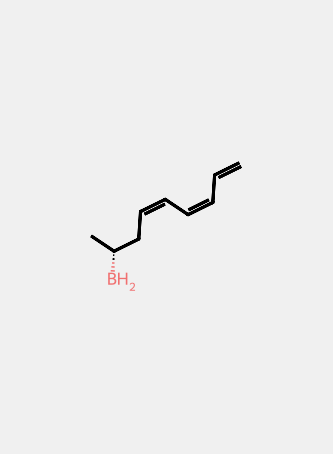 B[C@H](C)C/C=C\C=C/C=C